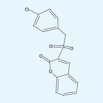 O=c1oc2ccccc2cc1S(=O)(=O)Cc1ccc(Cl)cc1